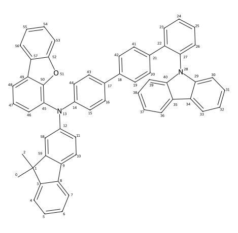 CC1(C)c2ccccc2-c2ccc(N(c3ccc(-c4ccc(-c5ccccc5-n5c6ccccc6c6ccccc65)cc4)cc3)c3cccc4c3oc3ccccc34)cc21